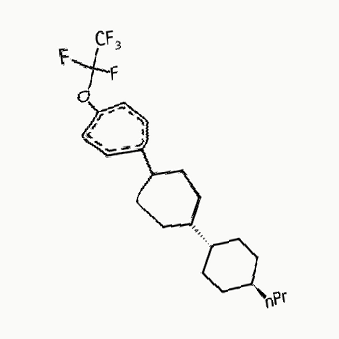 CCC[C@H]1CC[C@H](C2CCC(c3ccc(OC(F)(F)C(F)(F)F)cc3)CC2)CC1